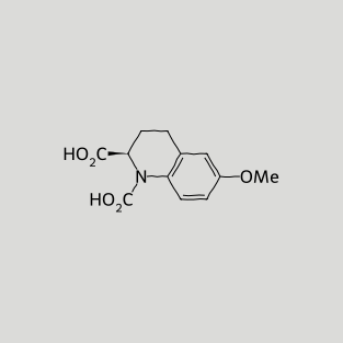 COc1ccc2c(c1)CC[C@H](C(=O)O)N2C(=O)O